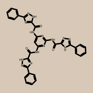 O=C(Nc1cc(NC(=O)c2nc(-c3ccccc3)n[nH]2)nc(NC(=O)c2nnc(-c3ccccc3)[nH]2)n1)c1nc(-c2ccccc2)n[nH]1